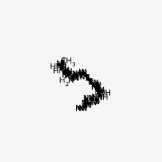 Cc1n[nH]c(Nc2nnc(-n3nc(-n4nnc(CCCCc5nnn(-c6n[nH]c(Nc7nnc(-n8nc(N=[N+]=[N-])nc8N)nn7)n6)n5)n4)nc3N)nn2)n1